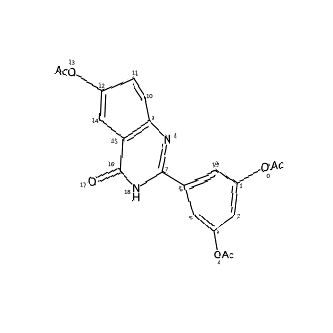 CC(=O)Oc1cc(OC(C)=O)cc(-c2nc3ccc(OC(C)=O)cc3c(=O)[nH]2)c1